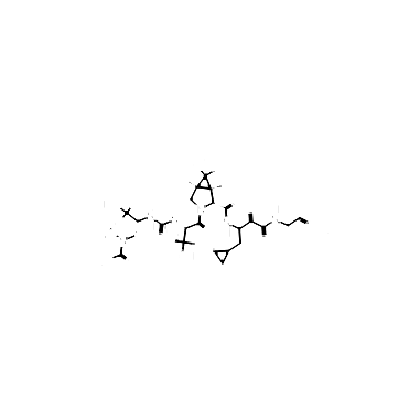 C=CCNC(=O)C(=O)C(CC1CC1)NC(=O)[C@@H]1[C@@H]2[C@H](CN1C(=O)[C@@H](NC(=O)N[C@H](CN(C)C(C)=O)C(C)(C)C)C(C)(C)C)C2(C)C